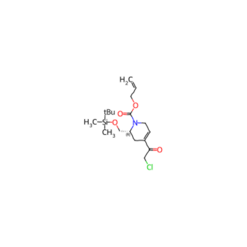 C=CCOC(=O)N1CC=C(C(=O)CCl)C[C@@H]1CO[Si](C)(C)C(C)(C)C